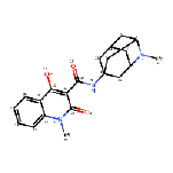 CC(C)N1C2CC3CC1CC(NC(=O)c1c(O)c4ccccc4n(C(C)C)c1=O)(C3)C2